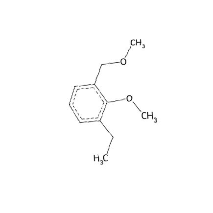 CCc1cccc(COC)c1OC